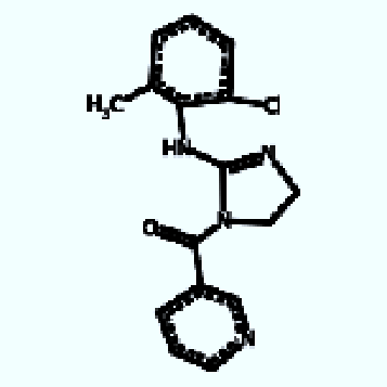 Cc1cccc(Cl)c1NC1=NCCN1C(=O)c1cccnc1